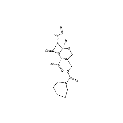 O=CNC1C(=O)N2C(C(=O)O)=C(COC(=O)N3CCCCC3)CS[C@H]12